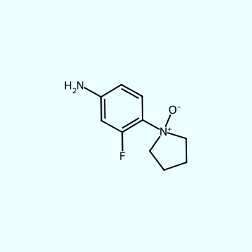 Nc1ccc([N+]2([O-])CCCC2)c(F)c1